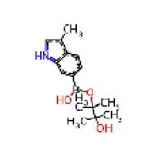 Cc1c[nH]c2cc(B(O)OC(C)(C)C(C)(C)O)ccc12